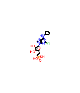 O=P(O)(O)CC[C@H]1O[C@@H](n2cnc3c(NC4CCCC4)nc(Cl)nc32)[C@@H](O)C1O